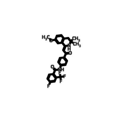 COc1ccc2c(c1)C(=CC(=O)c1ccc(NC(=O)c3ccc(F)cc3C(F)(F)F)cc1)NC(C)(C)C2